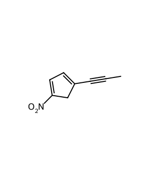 CC#CC1=CC=C([N+](=O)[O-])C1